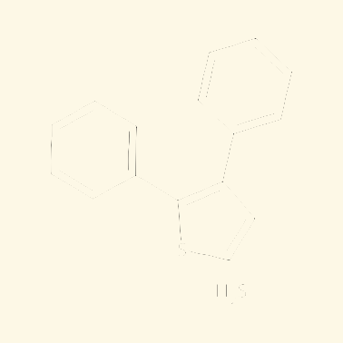 S.c1ccc(-c2ccsc2-c2ccccc2)cc1